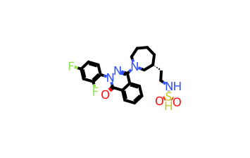 O=c1c2ccccc2c(N2CCCC[C@H](CCN[SH](=O)=O)C2)nn1-c1ccc(F)cc1F